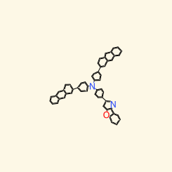 c1ccc2cc3cc(-c4ccc(N(c5ccc(-c6ccc7cc8ccccc8cc7c6)cc5)c5ccc(-c6cnc7c(c6)oc6ccccc67)cc5)cc4)ccc3cc2c1